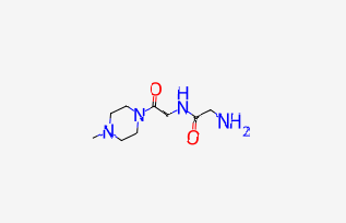 CN1CCN(C(=O)CNC(=O)CN)CC1